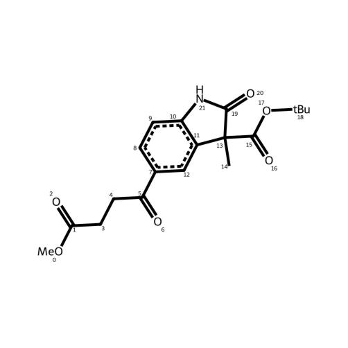 COC(=O)CCC(=O)c1ccc2c(c1)C(C)(C(=O)OC(C)(C)C)C(=O)N2